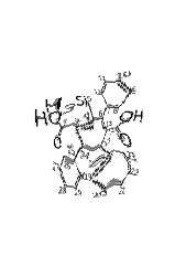 O=C(O)c1c([SiH3])c(-c2ccccc2)c(C(=O)O)c(-c2ccccc2)c1-c1ccccc1